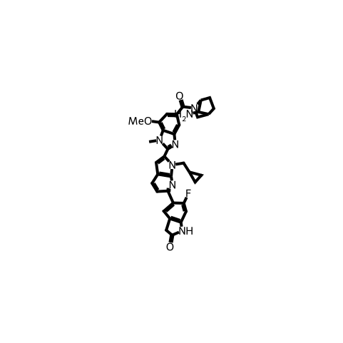 COc1cc(C(=O)N2CC3CCC2C3N)cc2nc(-c3cc4ccc(-c5cc6c(cc5F)NC(=O)C6)nc4n3CC3CC3)n(C)c12